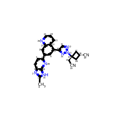 Cc1nc2ccc(-c3cc(-c4cnn([C@]5(CC#N)C[C@H](C#N)C5)n4)c4cccnc4c3)nc2[nH]1